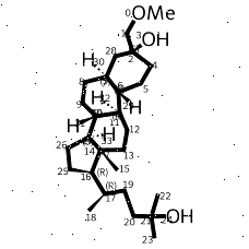 COC[C@]1(O)CC[C@H]2[C@@H](CC[C@@H]3[C@@H]2CC[C@]2(C)[C@@H]([C@H](C)CCC(C)(C)O)CC[C@@H]32)C1